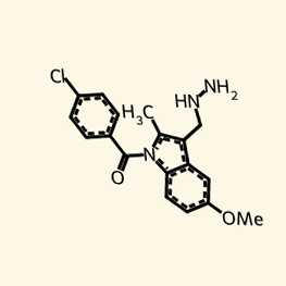 COc1ccc2c(c1)c(CNN)c(C)n2C(=O)c1ccc(Cl)cc1